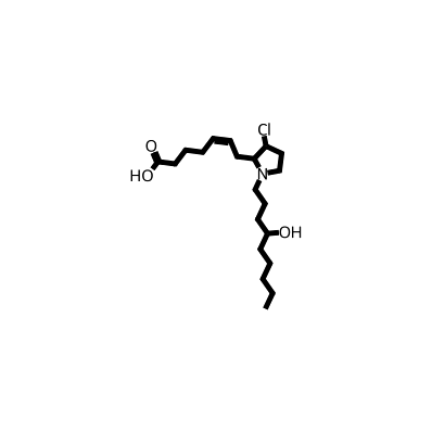 CCCCCC(O)CCCN1CCC(Cl)C1C/C=C\CCCC(=O)O